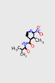 Cc1c(C(=O)NC(=O)C(C)C)ccnc1[N+](=O)[O-]